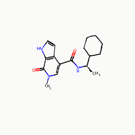 C[C@@H](NC(=O)c1cn(C)c(=O)c2[nH]ccc12)C1CCCCC1